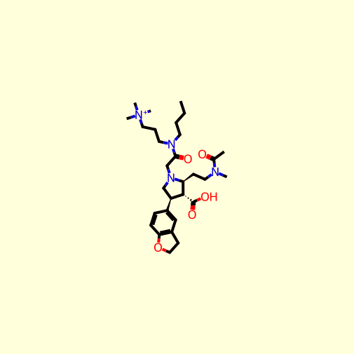 CCCCN(CCC[N+](C)(C)C)C(=O)CN1C[C@H](c2ccc3c(c2)CCO3)[C@@H](C(=O)O)[C@@H]1CCN(C)C(C)=O